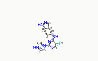 Fc1cnc(N2C3CNCC2C3)nc1Nc1ccc2[nH]ncc2c1